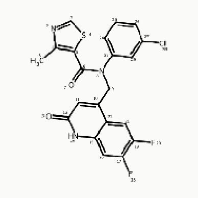 Cc1ncsc1C(=O)N(Cc1cc(=O)[nH]c2cc(F)c(F)cc12)c1cccc(Cl)c1